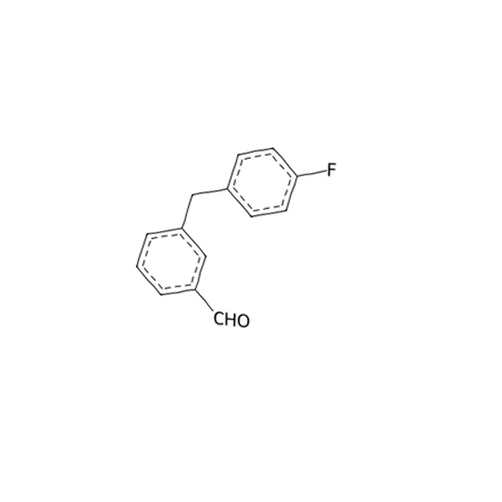 O=Cc1cccc(Cc2ccc(F)cc2)c1